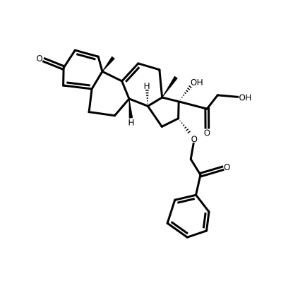 C[C@]12C=CC(=O)C=C1CC[C@@H]1C2=CC[C@@]2(C)[C@H]1C[C@@H](OCC(=O)c1ccccc1)[C@]2(O)C(=O)CO